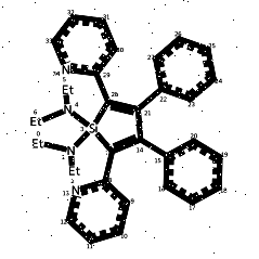 CCN(CC)[Si]1(N(CC)CC)C(c2ccccn2)=C(c2ccccc2)C(c2ccccc2)=C1c1ccccn1